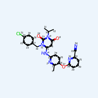 Cc1nc(Nc2cc(=O)n(C(C)C)c(=O)n2Cc2ccc(Cl)cc2)ccc1Oc1cccc(C#N)n1